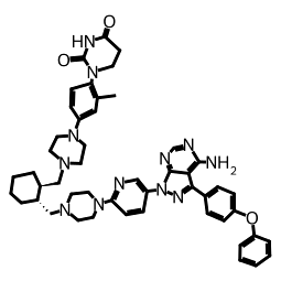 Cc1cc(N2CCN(C[C@@H]3CCCC[C@H]3CN3CCN(c4ccc(-n5nc(-c6ccc(Oc7ccccc7)cc6)c6c(N)ncnc65)cn4)CC3)CC2)ccc1N1CCC(=O)NC1=O